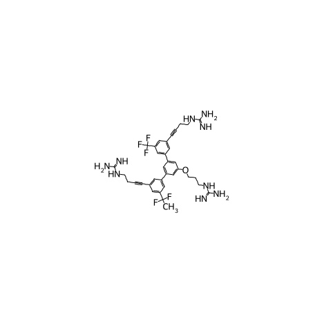 CC(F)(F)c1cc(C#CCCNC(=N)N)cc(-c2cc(OCCCNC(=N)N)cc(-c3cc(C#CCCNC(=N)N)cc(C(F)(F)F)c3)c2)c1